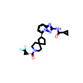 O=C(Nc1nc2cccc([C@H]3CCC4(CCN(C(=O)[C@@H]5CC5(F)F)CC4)C3)n2n1)C1CC1